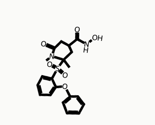 CN1C(=O)CC(C(=O)NO)CC1(C)S(=O)(=O)c1ccccc1Oc1ccccc1